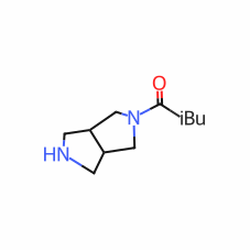 CCC(C)C(=O)N1CC2CNCC2C1